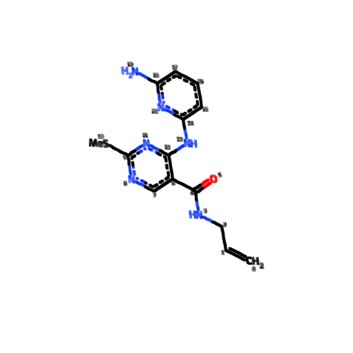 C=CCNC(=O)c1cnc(SC)nc1Nc1cccc(N)n1